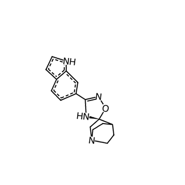 c1cc2ccc(C3=NO[C@]4(CN5CCC4CC5)N3)cc2[nH]1